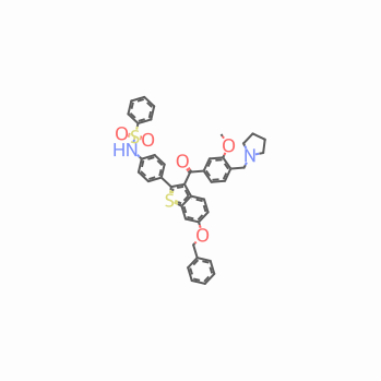 COc1cc(C(=O)c2c(-c3ccc(NS(=O)(=O)c4ccccc4)cc3)sc3cc(OCc4ccccc4)ccc23)ccc1CN1CCCC1